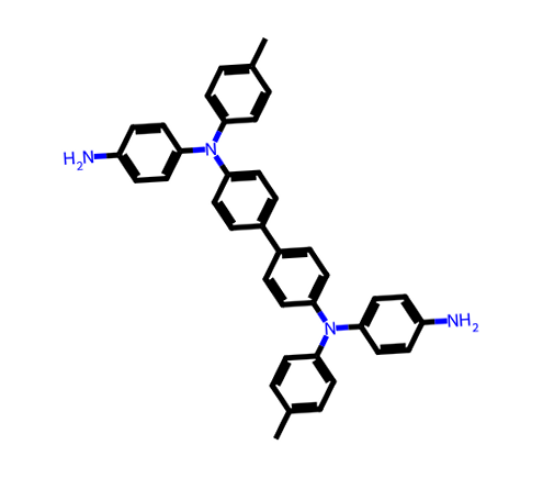 Cc1ccc(N(c2ccc(N)cc2)c2ccc(-c3ccc(N(c4ccc(C)cc4)c4ccc(N)cc4)cc3)cc2)cc1